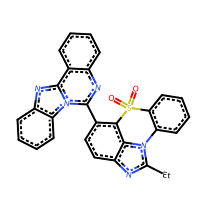 CCc1nc2ccc(-c3nc4ccccc4c4nc5ccccc5n34)c3c2n1-c1ccccc1S3(=O)=O